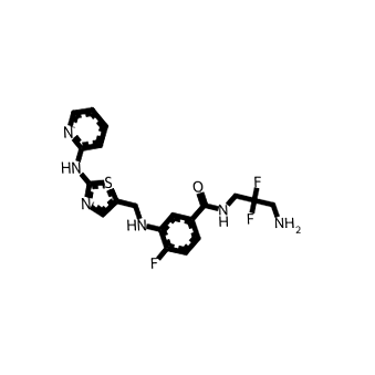 NCC(F)(F)CNC(=O)c1ccc(F)c(NCc2cnc(Nc3ccccn3)s2)c1